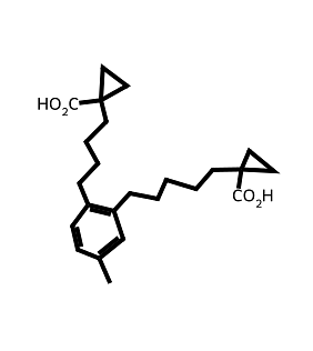 Cc1ccc(CCCCC2(C(=O)O)CC2)c(CCCCCC2(C(=O)O)CC2)c1